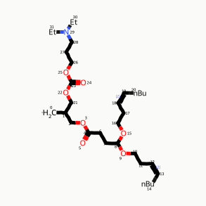 [CH2]C(COC(=O)CCC(OCC/C=C\CCCC)OCC/C=C\CCCC)COC(=O)OCCCN(CC)CC